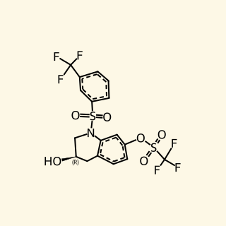 O=S(=O)(c1cccc(C(F)(F)F)c1)N1C[C@H](O)Cc2ccc(OS(=O)(=O)C(F)(F)F)cc21